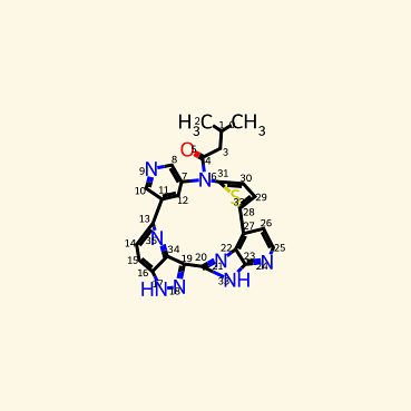 CC(C)CC(=O)n1c2cncc(c2)c2ccc3[nH]nc(c4nc5c(nccc5c5ccc1s5)[nH]4)c3n2